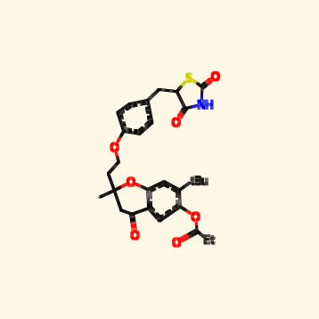 CCC(=O)Oc1cc2c(cc1C(C)(C)C)OC(C)(CCOc1ccc(CC3SC(=O)NC3=O)cc1)CC2=O